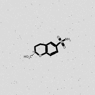 NS(=O)(=O)c1ccc2c(c1)CC[C@@H](C(=O)O)O2